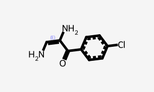 N/C=C(/N)C(=O)c1ccc(Cl)cc1